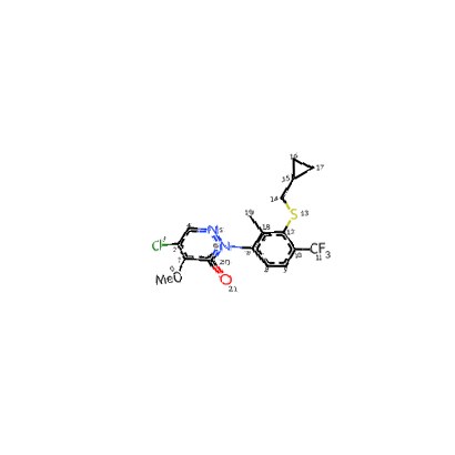 COc1c(Cl)cnn(-c2ccc(C(F)(F)F)c(SCC3CC3)c2C)c1=O